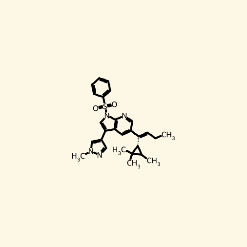 CC/C=C(/c1cnc2c(c1)c(-c1cnn(C)c1)cn2S(=O)(=O)c1ccccc1)[C@@H]1C(C)C1(C)C